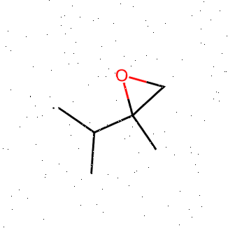 [CH2]C(C)C1(C)CO1